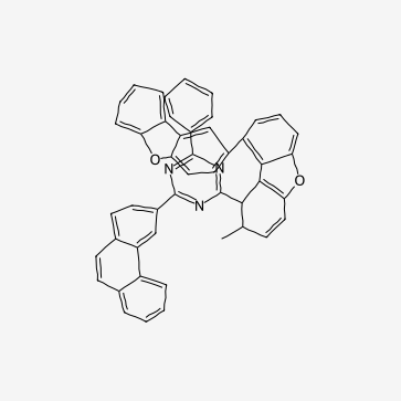 CC1C=Cc2oc3cccc(-c4ccc5oc6ccccc6c5c4)c3c2C1c1nc(-c2ccccc2)nc(-c2ccc3ccc4ccccc4c3c2)n1